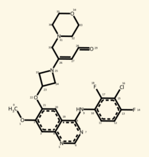 COc1cc2ncnc(Nc3ccc(F)c(Cl)c3F)c2cc1OC1CN(C(=CC=O)CN2CCOCC2)C1